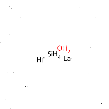 O.[Hf].[La].[SiH4]